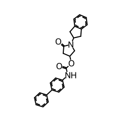 O=C(Nc1ccc(-c2ccccc2)cc1)OC1CC(=O)N(C2Cc3ccccc3C2)C1